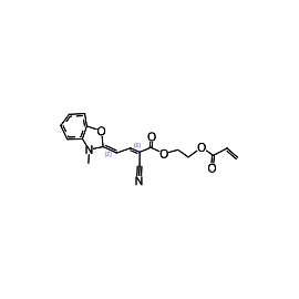 C=CC(=O)OCCOC(=O)/C(C#N)=C/C=C1\Oc2ccccc2N1C